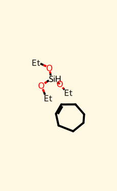 C1=CCCCCC1.CCO[SiH](OCC)OCC